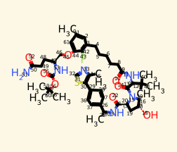 Cc1cc(CCCCCC(=O)N[C@H](C(=O)N2C[C@H](O)C[C@H]2C(=O)N[C@@H](C)c2ccc(-c3scnc3C)cc2)C(C)(C)C)c(F)c(OC[C@H](CCC(N)=O)NC(=O)OC(C)(C)C)c1